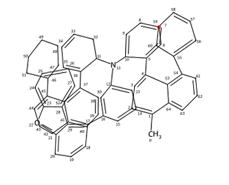 Cc1ccc(-c2ccccc2N(c2cccc(-c3cccc4oc5ccccc5c34)c2)C2CC=CC=C2c2cccc3cccc(C4CCCCC4)c23)c2c(-c3ccccc3)cccc12